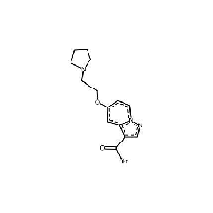 CC(C)C(=O)c1cnn2ccc(OCCN3CCCC3)cc12